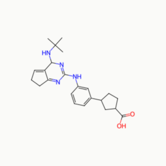 CC(C)(C)NC1N=C(Nc2cccc(C3CCC(C(=O)O)C3)c2)N=C2CCC=C21